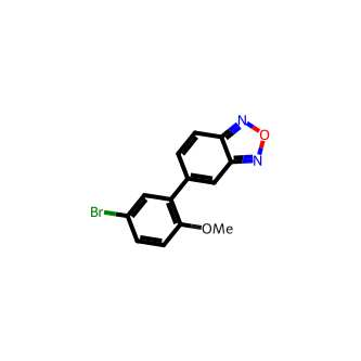 COc1ccc(Br)cc1-c1ccc2nonc2c1